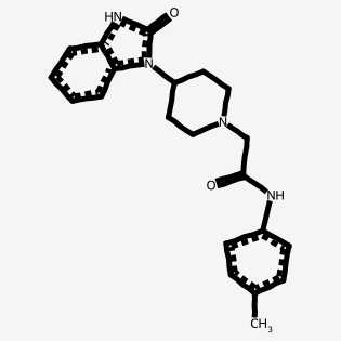 Cc1ccc(NC(=O)CN2CCC(n3c(=O)[nH]c4ccccc43)CC2)cc1